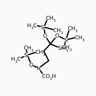 C[Si](C)(C)ON(CCC([SiH3])(O[Si](C)(C)C)O[Si](C)(C)C)C(=O)O